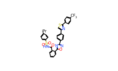 CC(C)c1ccc(S(=O)(=O)NC(=O)c2ccccc2-c2nc(-c3ccc(-c4csc(-c5ccc(C(F)(F)F)cc5)n4)cc3)no2)cc1